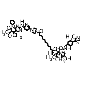 CC(=O)c1c(C)c2cnc(Nc3ccc(N4CCN(C(=O)CCCCCCCCCC(=O)N[C@H](C(=O)N5C[C@H](O)C[C@H]5C(=O)NCc5ccc(-c6scnc6C)cc5)C(C)(C)C)CC4)cn3)nc2n(C2CCCC2)c1=O